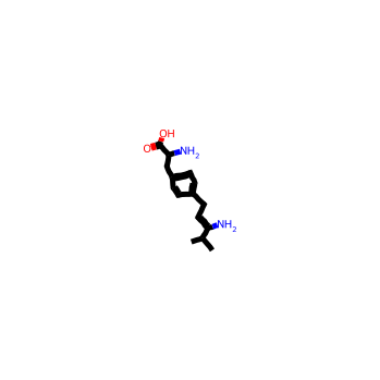 CC(C)/C(N)=C/Cc1ccc(CC(N)C(=O)O)cc1